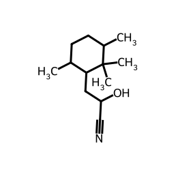 CC1CCC(C)C(C)(C)C1CC(O)C#N